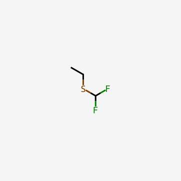 CCSC(F)F